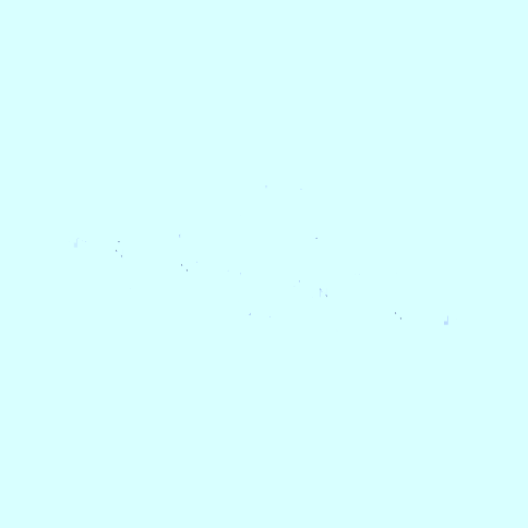 CCCN1CCN(C(=O)c2ccccc2C(=O)N2CCN(CCC)CC2)CC1